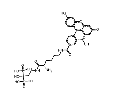 N[C@@H](CCCCNC(=O)c1ccc(-c2c3ccc(=O)cc-3oc3cc(O)ccc23)c(C(=O)O)c1)C(=O)NCCC(O)(P(=O)(O)O)P(=O)(O)O